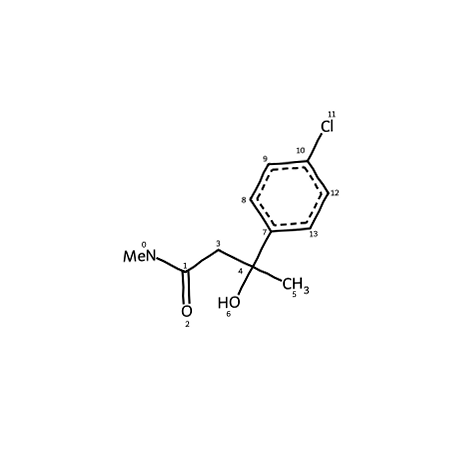 CNC(=O)CC(C)(O)c1ccc(Cl)cc1